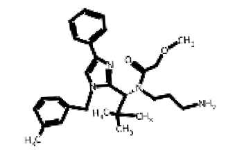 COCC(=O)N(CCCN)[C@@H](c1nc(-c2ccccc2)cn1Cc1cccc(C)c1)C(C)(C)C